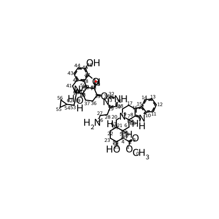 COC(=O)[C@@H]1[C@H]2C[C@H]3c4[nH]c5ccccc5c4CCN3C[C@@H]2CC[C@@H]1O.NCCc1c[nH]cn1.O=C1CC[C@@]2(O)[C@H]3Cc4ccc(O)c5c4[C@@]2(CCN3CC2CC2)[C@H]1O5